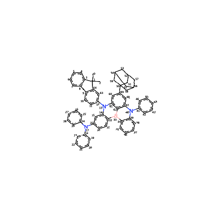 CC1(C)c2ccccc2-c2ccc(N3c4cc(N(c5ccccc5)c5ccccc5)ccc4B4c5ccccc5N(c5ccccc5)c5cc(C67CC8CC(CC(C8)C6)C7)cc3c54)cc21